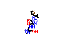 COCc1c(C(=O)NCc2c(CO)ncn2C)cnn1-c1ncc(C)c(-c2cccs2)n1